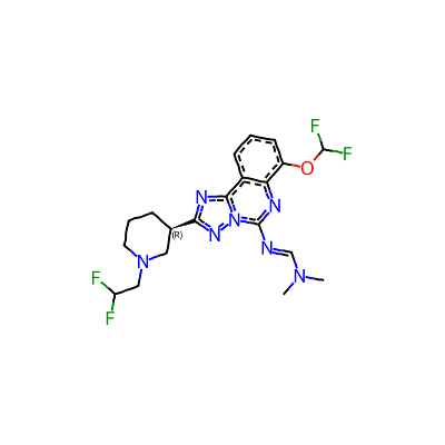 CN(C)C=Nc1nc2c(OC(F)F)cccc2c2nc([C@@H]3CCCN(CC(F)F)C3)nn12